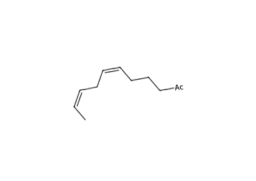 C/C=C\C/C=C\CCCC(C)=O